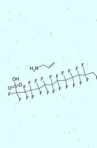 C=CCN.O=S(=O)(O)C(F)(F)C(F)(F)C(F)(F)C(F)(F)C(F)(F)C(F)(F)C(F)(F)C(F)(F)C(F)(F)C(F)(F)C(F)(F)CF